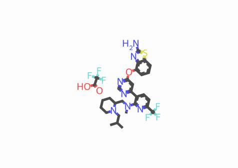 CC(C)CN1CCCCC1CN(C)c1nc(C(F)(F)F)ccc1-c1cc(Oc2cccc3sc(N)nc23)ncn1.O=C(O)C(F)(F)F